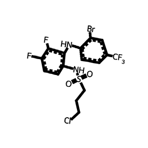 O=S(=O)(CCCCl)Nc1ccc(F)c(F)c1Nc1ccc(C(F)(F)F)cc1Br